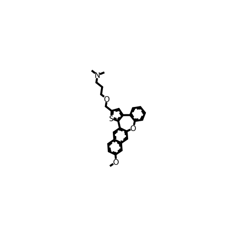 COc1ccc2cc3c(cc2c1)Oc1ccccc1-c1cc(COCCCN(C)C)sc1-3